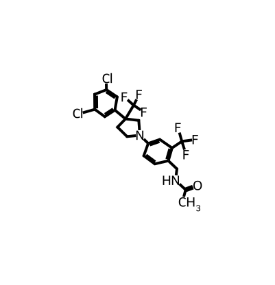 CC(=O)NCc1ccc(N2CCC(c3cc(Cl)cc(Cl)c3)(C(F)(F)F)C2)cc1C(F)(F)F